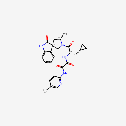 N#C[C@@H]1C[C@@]2(CN1C(=O)[C@H](CC1CC1)NC(=O)C(=O)Nc1ccc(C(F)(F)F)cn1)C(=O)Nc1ccccc12